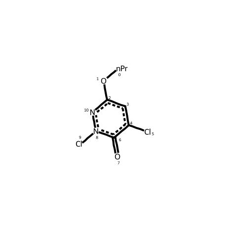 CCCOc1cc(Cl)c(=O)n(Cl)n1